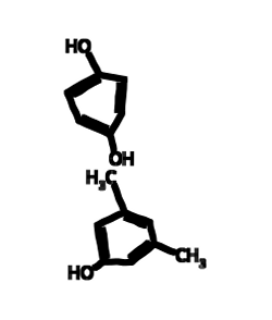 Cc1cc(C)cc(O)c1.Oc1ccc(O)cc1